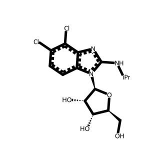 CC(C)Nc1nc2c(Cl)c(Cl)ccc2n1[C@H]1O[C@@H](CO)[C@H](O)[C@@H]1O